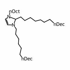 CCCCCCCCCCCCCCCCCC1N(CCCCCCCC)C=CN1CCCCCCCCCCCCCCCC